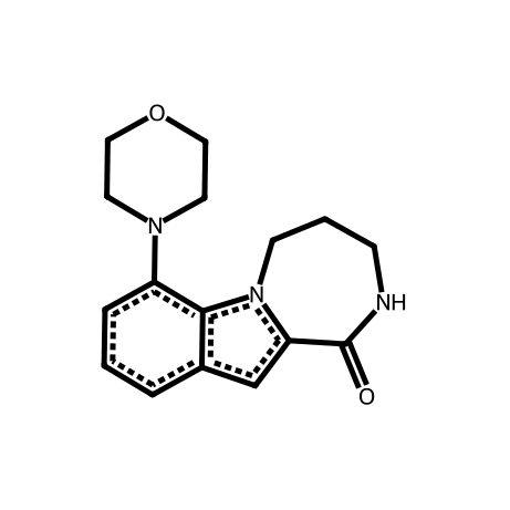 O=C1NCCCn2c1cc1cccc(N3CCOCC3)c12